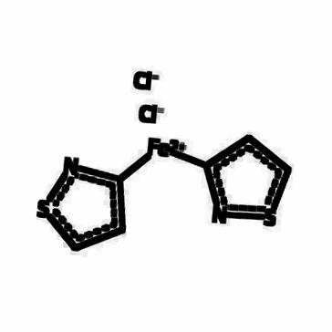 [Cl-].[Cl-].c1c[c]([Fe+2][c]2ccsn2)ns1